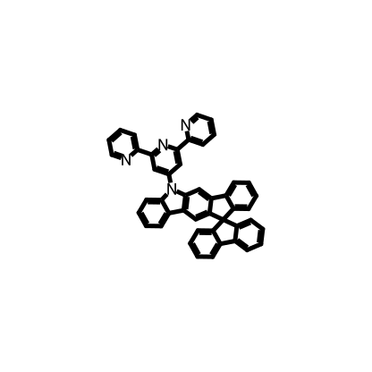 c1ccc(-c2cc(-n3c4ccccc4c4cc5c(cc43)-c3ccccc3C53c4ccccc4-c4ccccc43)cc(-c3ccccn3)n2)nc1